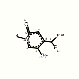 CC(C)c1cn(C)c(=O)cc1C(F)F